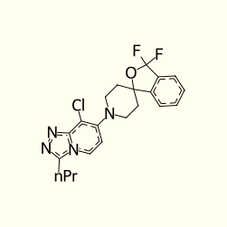 CCCc1nnc2c(Cl)c(N3CCC4(CC3)OC(F)(F)c3ccccc34)ccn12